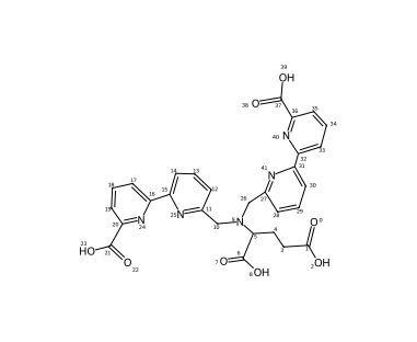 O=C(O)CCC(C(=O)O)N(Cc1cccc(-c2cccc(C(=O)O)n2)n1)Cc1cccc(-c2cccc(C(=O)O)n2)n1